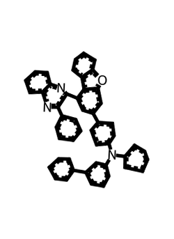 c1ccc(-c2cccc(N(c3ccccc3)c3ccc(-c4cc(-c5nc6ccccc6nc5-c5ccccc5)c5c(c4)oc4ccccc45)cc3)c2)cc1